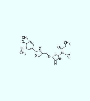 CCC(=O)N(C1CC1)C1NNC(SCC2CSC(c3ccc(OC)c(OC)c3)N2)S1